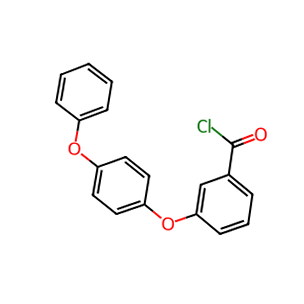 O=C(Cl)c1cccc(Oc2ccc(Oc3ccccc3)cc2)c1